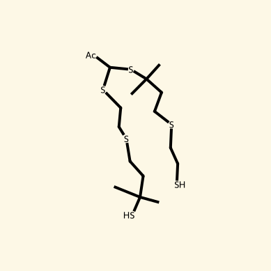 CC(=O)C(SCCSCCC(C)(C)S)SC(C)(C)CCSCCS